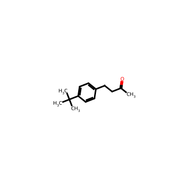 CC(=O)C[CH]c1ccc(C(C)(C)C)cc1